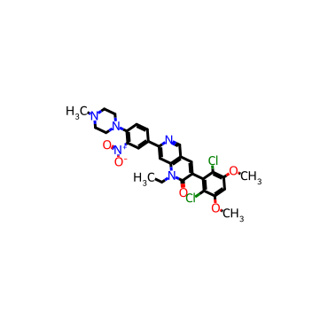 CCn1c(=O)c(-c2c(Cl)c(OC)cc(OC)c2Cl)cc2cnc(-c3ccc(N4CCN(C)CC4)c([N+](=O)[O-])c3)cc21